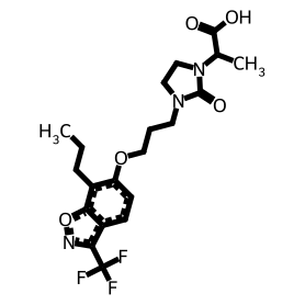 CCCc1c(OCCCN2CCN(C(C)C(=O)O)C2=O)ccc2c(C(F)(F)F)noc12